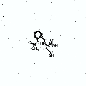 CC(=O)Oc1ccccc1CN[C@@H](CCS)C(=O)O